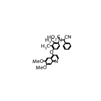 COc1cc2nccc(Oc3ccc(N(C(=O)O)C(C#N)c4ccccc4)c(C)c3C)c2cc1OC